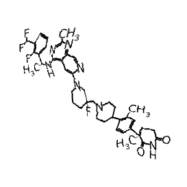 Cc1nc(N[C@H](C)c2cccc(C(F)F)c2F)c2cc(N3CCC[C@](F)(CN4CCC(c5ccc([C@@]6(C)CCC(=O)NC6=O)cc5C)CC4)C3)ncc2n1